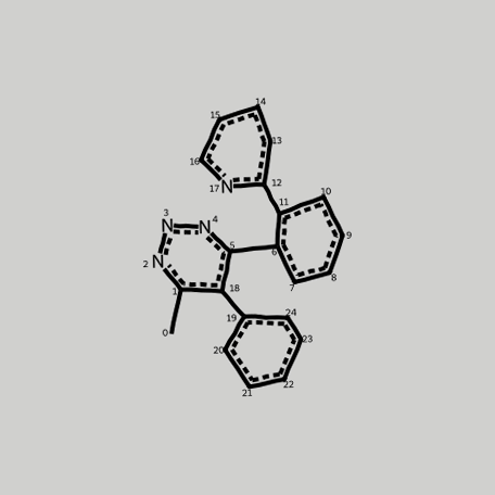 Cc1nnnc(-c2ccccc2-c2ccccn2)c1-c1ccccc1